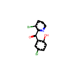 O=C(c1cc(Br)ccc1O)c1ncccc1Br